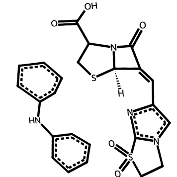 O=C(O)C1CS[C@@H]2/C(=C\c3cn4c(n3)S(=O)(=O)CC4)C(=O)N12.c1ccc(Nc2ccccc2)cc1